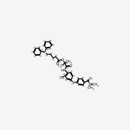 CN(C)C(=O)c1ccc(Sc2ccc(NC(=O)C(C)(OC(=O)CCCCP(c3ccccc3)c3ccccc3)C(F)(F)F)c(Cl)c2)cc1